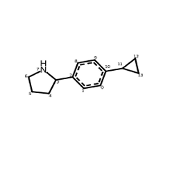 c1cc(C2CCCN2)ccc1C1CC1